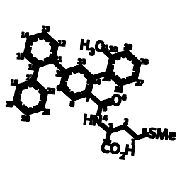 CSCCC(NC(=O)c1ccc(-c2ccccc2-c2ccccc2)cc1-c1ccccc1C)C(=O)O